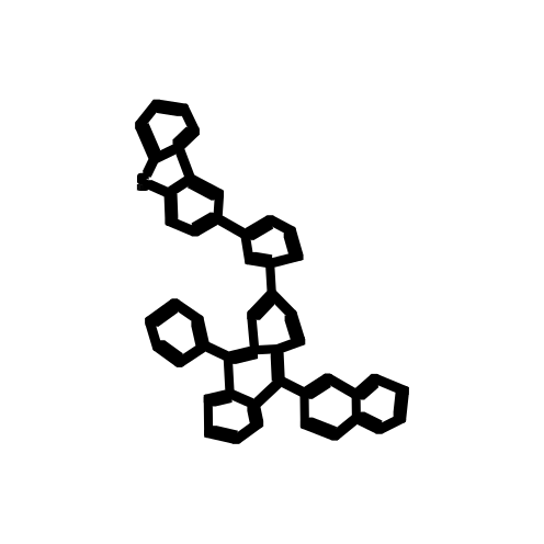 c1ccc(-c2c3ccccc3c(-c3ccc4ccccc4c3)c3ccc(-c4cccc(-c5ccc6sc7ccccc7c6c5)c4)cc23)cc1